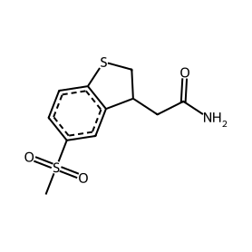 CS(=O)(=O)c1ccc2c(c1)C(CC(N)=O)CS2